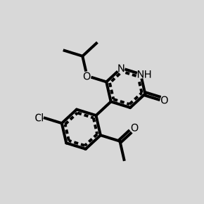 CC(=O)c1ccc(Cl)cc1-c1cc(=O)[nH]nc1OC(C)C